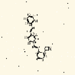 N#Cc1ccccc1C=Cc1ccc(C=Cc2ccccc2)cc1